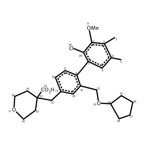 COc1c(C)c(C)cc(-c2ccc(CC3(C(=O)O)CCOCC3)cc2COC2CCCC2)c1Cl